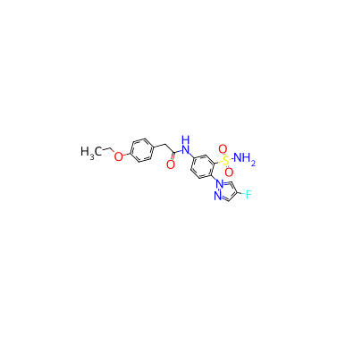 CCOc1ccc(CC(=O)Nc2ccc(-n3cc(F)cn3)c(S(N)(=O)=O)c2)cc1